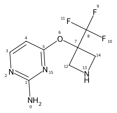 Nc1nccc(OC2(C(F)(F)F)CNC2)n1